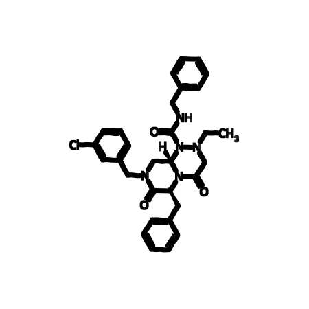 CCN1CC(=O)N2[C@@H](Cc3ccccc3)C(=O)N(Cc3cccc(Cl)c3)C[C@@H]2N1C(=O)NCc1ccccc1